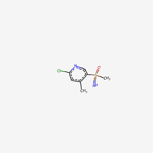 Cc1cc(Cl)ncc1S(C)(=N)=O